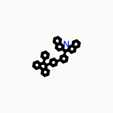 c1ccc(-c2c(-c3ccc(-c4cccc(-c5c6ccc7ccccc7c6nc6c5ccc5ccccc56)c4)cc3)c3ccccc3c3ccccc23)cc1